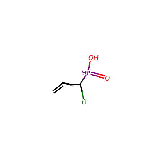 C=CC(Cl)[PH](=O)O